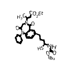 CCOC(=O)CC(C)N1CC(=O)N(c2ccccc2)c2ccc(CCCC(S)NC(=O)OC(C)(C)C)cc2C1=O